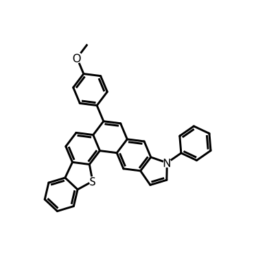 COc1ccc(-c2cc3cc4c(ccn4-c4ccccc4)cc3c3c2ccc2c4ccccc4sc23)cc1